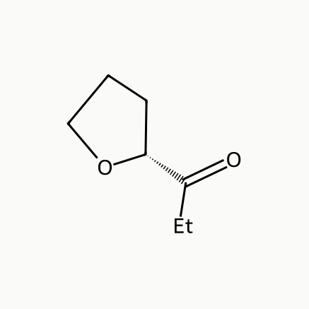 CCC(=O)[C@H]1CCCO1